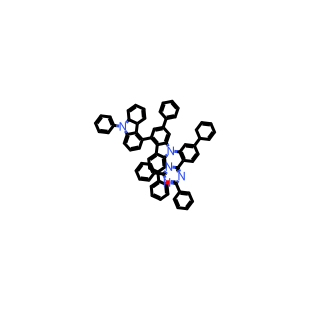 C1=CCC(c2ccc(-c3nc(-c4ccccc4)nc(-c4ccccc4)n3)c(-n3c4c(c5c(-c6cccc7c6C6C=CC=CC6N7c6ccccc6)cc(-c6ccccc6)cc53)=CCC(c3ccccc3)C=4)c2)C=C1